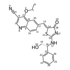 CCOc1c(C#N)cnc2ccc(/C=C3\SC(N[C@@H](CO)c4ccccc4)=NC3=O)cc12